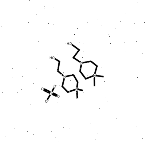 C[N+]1(C)CCN(CCO)CC1.C[N+]1(C)CCN(CCO)CC1.O=S(=O)([O-])[O-]